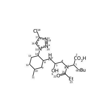 CCCCC(C(=O)O)N(CC(O)NC1CC(C)CCC1n1cc(Cl)[n+]#[n+]1)C(=O)CC